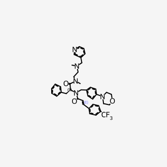 CN(CCN(C)C(=O)[C@H](Cc1ccccc1)N(Cc1ccc(N2CCOCC2)cc1)C(=O)/C=C/c1ccc(C(F)(F)F)cc1)Cc1cccnc1